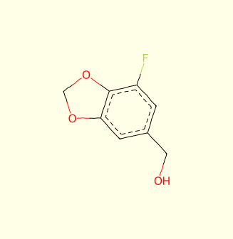 OCc1cc(F)c2c(c1)OCO2